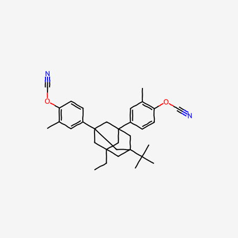 CCC12CC3(c4ccc(OC#N)c(C)c4)CC(c4ccc(OC#N)c(C)c4)(C1)CC(C(C)(C)C)(C2)C3